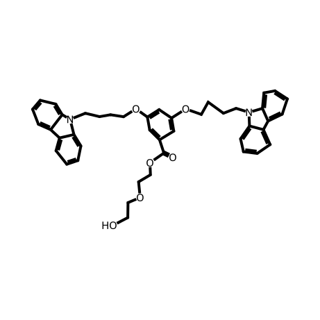 O=C(OCCOCCO)c1cc(OCCCCn2c3ccccc3c3ccccc32)cc(OCCCCn2c3ccccc3c3ccccc32)c1